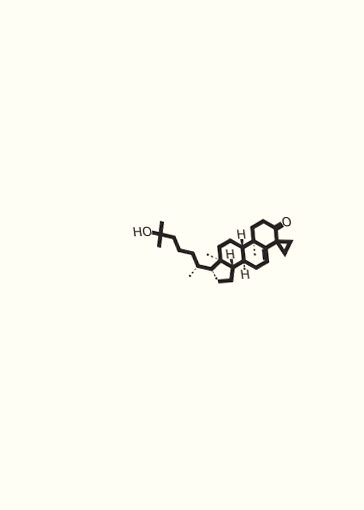 C[C@H](CCCC(C)(C)O)[C@H]1CC[C@H]2[C@@H]3CC=C4C5(CC5)C(=O)CC[C@]4(C)[C@H]3CC[C@]12C